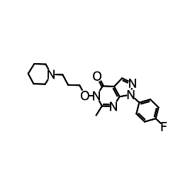 Cc1nc2c(cnn2-c2ccc(F)cc2)c(=O)n1OCCCN1CCCCC1